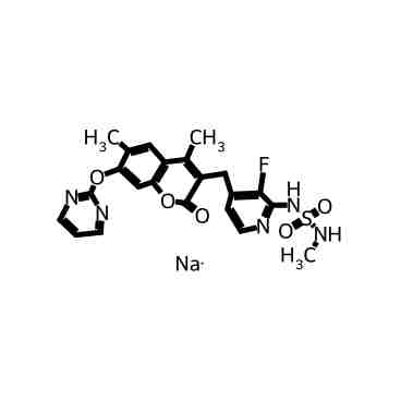 CNS(=O)(=O)Nc1nccc(Cc2c(C)c3cc(C)c(Oc4ncccn4)cc3oc2=O)c1F.[Na]